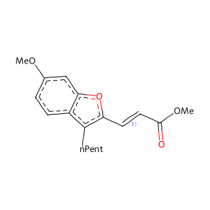 CCCCCc1c(/C=C/C(=O)OC)oc2cc(OC)ccc12